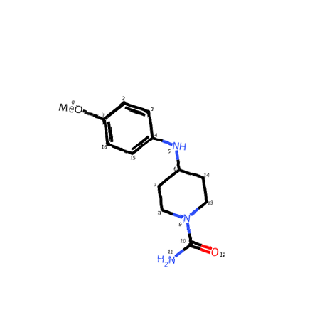 COc1ccc(NC2CCN(C(N)=O)CC2)cc1